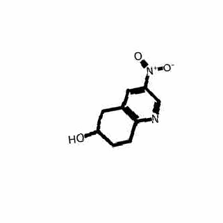 O=[N+]([O-])c1cnc2c(c1)CC(O)CC2